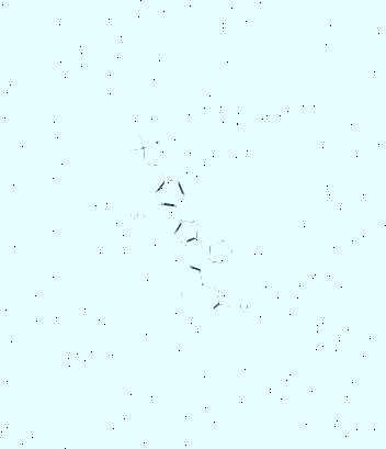 COC(=O)NC(C(=O)N1CCC[C@H]1c1ncc(-c2ccc(B3OC(C)(C)C(C)(C)O3)cc2OC)[nH]1)C(C)C